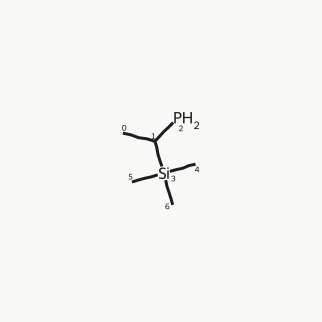 CC(P)[Si](C)(C)C